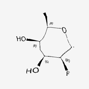 C[C@H]1O[CH][C@@H](F)[C@@H](O)[C@H]1O